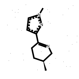 C[C@H]1CCC(c2ccn(C)n2)=NC1